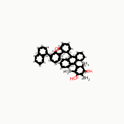 Bc1c(O)c(B)c(-c2c3ccccc3c(-c3cccc4oc5c(-c6cccc7ccccc67)cccc5c34)c3ccccc23)c(B)c1O